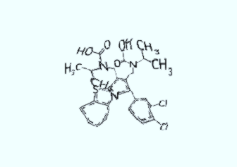 CC(C)N(Cc1c(CN(C(=O)O)C(C)C)c2sc3ccccc3n2c1-c1ccc(Cl)c(Cl)c1)C(=O)O